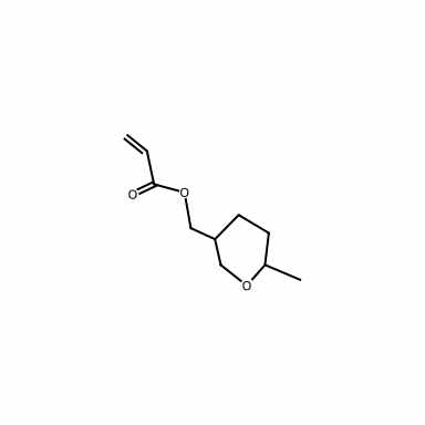 C=CC(=O)OCC1CCC(C)OC1